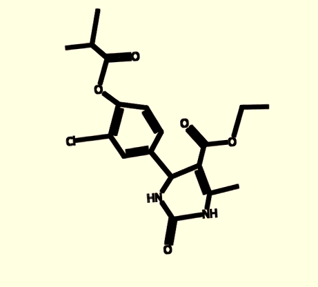 CCOC(=O)C1=C(C)NC(=O)NC1c1ccc(OC(=O)C(C)C)c(Cl)c1